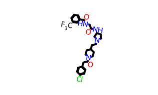 O=C(CNC(=O)c1cccc(C(F)(F)F)c1)N[C@@H]1CCN(CCC2CCN(C(=O)Cc3ccc(Cl)cc3)CC2)C1